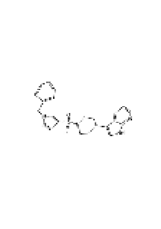 O=S(=O)(c1cnn(Cc2ccccc2)c1)N1CCC(c2c[nH]c3ncccc23)CC1